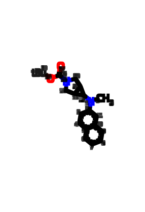 CN(c1ccc2ccccc2c1)C1C2CN(C(=O)OC(C)(C)C)CC21